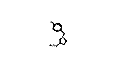 CC(=O)N[C@@H]1CCN(Cc2ccc(Br)cc2)C1